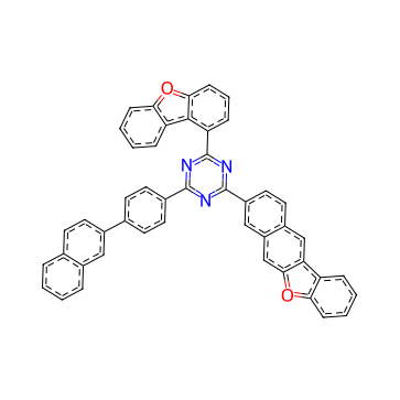 c1ccc2cc(-c3ccc(-c4nc(-c5ccc6cc7c(cc6c5)oc5ccccc57)nc(-c5cccc6oc7ccccc7c56)n4)cc3)ccc2c1